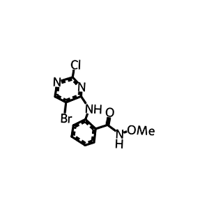 CONC(=O)c1ccccc1Nc1nc(Cl)ncc1Br